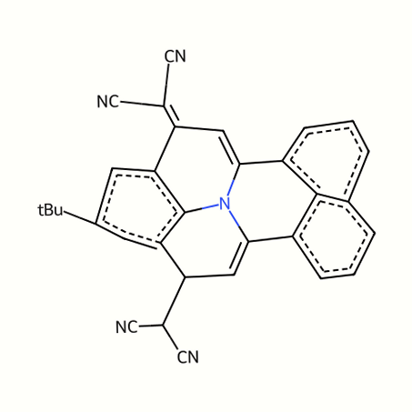 CC(C)(C)c1cc2c3c(c1)C(C(C#N)C#N)C=C1c4cccc5cccc(c45)C(=CC2=C(C#N)C#N)N13